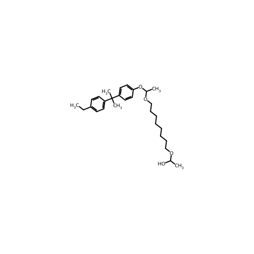 CCc1ccc(C(C)(C)c2ccc(OC(C)OCCCCCCCCOC(C)O)cc2)cc1